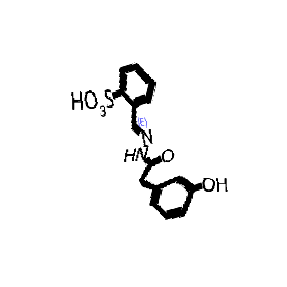 O=C(Cc1cccc(O)c1)N/N=C/c1ccccc1S(=O)(=O)O